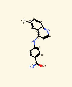 NC(=O)c1ccc(Nc2ccnc3ccc(C(F)(F)F)cc23)cc1